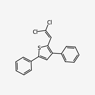 ClC(Cl)=Cc1sc(-c2ccccc2)cc1-c1ccccc1